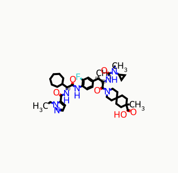 CCn1nccc1C(=O)N[C@H](C(=O)Nc1ccc([C@H](C)[C@@H](NC(=O)N(C)C2CC2)C(=O)N2CCC3(CC2)CCC(C)(C(=O)O)CC3)cc1F)C1CCCCCC1